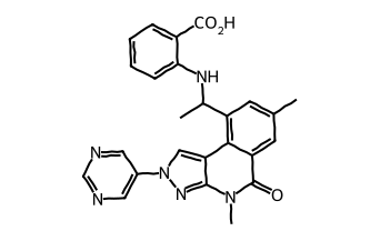 Cc1cc(C(C)Nc2ccccc2C(=O)O)c2c(c1)c(=O)n(C)c1nn(-c3cncnc3)cc21